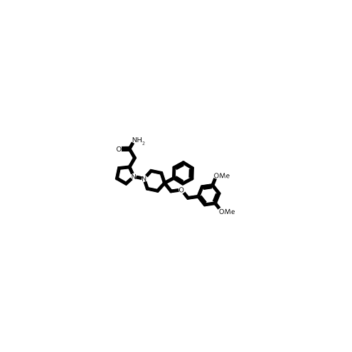 COc1cc(COCC2(c3ccccc3)CCN(N3CCCC3CC(N)=O)CC2)cc(OC)c1